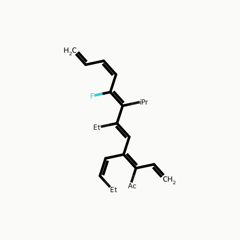 C=C\C=C/C(F)=C(/C(=C/C(/C=C\CC)=C(\C=C)C(C)=O)CC)C(C)C